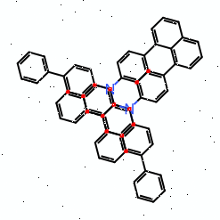 c1ccc(-c2ccc(N(c3ccc(-c4cccc5cccc(-c6ccc(N(c7ccc(-c8ccccc8)cc7)c7ccccc7-c7ccccc7)cc6)c45)cc3)c3ccccc3-c3ccccc3)cc2)cc1